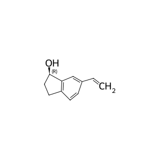 C=Cc1ccc2c(c1)[C@H](O)CC2